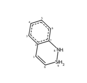 C1=Cc2ccccc2N[SiH2]1